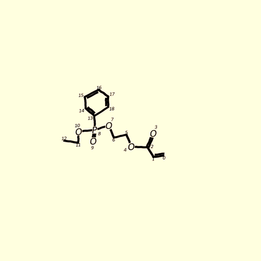 C=CC(=O)OCCOP(=O)(OCC)c1ccccc1